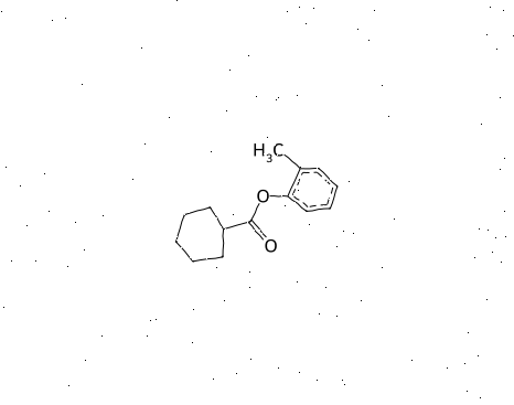 Cc1ccccc1OC(=O)C1CCCCC1